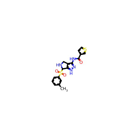 Cc1cccc(S(=O)(=O)C2NCc3c(NC(=O)c4ccsc4)n[nH]c32)c1